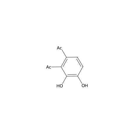 CC(=O)c1ccc(O)c(O)c1C(C)=O